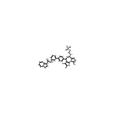 Cc1sc2c(c1C)C(c1ccc(-c3cccc(NC(=O)c4cnn5cccnc45)c3)cc1)=N[C@@H](CCOS(C)(=O)=O)c1nnc(C)n1-2